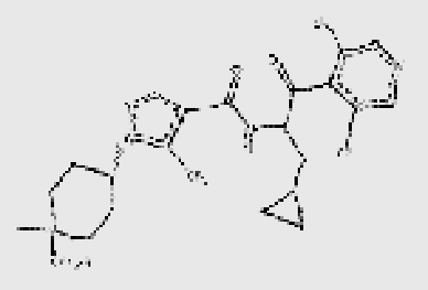 C[C@]1(C(=O)O)CC[C@H](n2ncc(C(=O)NC(CC3CC3)C(=O)c3c(Cl)cncc3Cl)c2C(F)(F)F)CC1